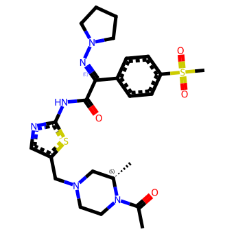 CC(=O)N1CCN(Cc2cnc(NC(=O)/C(=N/N3CCCC3)c3ccc(S(C)(=O)=O)cc3)s2)C[C@@H]1C